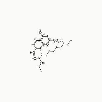 CCCCCCCCCC(=O)OCC.CCOC(=O)c1cc(=O)c2ccc(O)cc2o1